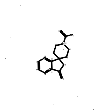 C=C1CC2(CCN(C(=C)C)CC2)c2ccccc21